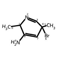 CC1N=CC(C)(Br)C=C1N